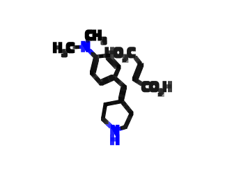 CN(C)c1ccc(C=C2CCNCC2)cc1.O=C(O)C=CC(=O)O